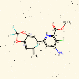 C=C(F)/C=C1/OC(F)(F)O/C1=C/Cc1cc(N)c(Cl)c(C(=O)OC)n1